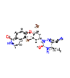 C=C1NC(=O)N(c2cc(Br)c(Oc3ccc4c(c3)CCNC4=O)c(Br)c2)N=C1C#N